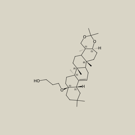 CC1(C)CC[C@]2(OCCCO)CC[C@]3(C)C(=CCC4[C@@]5(C)CC[C@@H]6OC(C)(C)OC[C@]6(C)C5CC[C@]43C)[C@@H]2C1